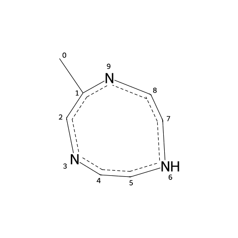 Cc1cncc[nH]ccn1